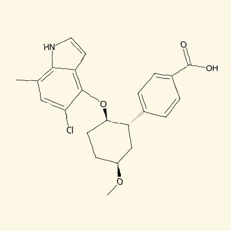 CO[C@H]1CC[C@@H](Oc2c(Cl)cc(C)c3[nH]ccc23)[C@H](c2ccc(C(=O)O)cc2)C1